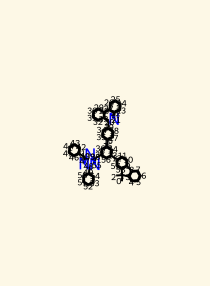 CC1(C)c2ccccc2-c2ccc(-c3cc(-c4ccc(-c5nc6ccccc6c6ccccc56)cc4)cc(-c4nc(-c5ccccc5)nc(-c5ccccc5)n4)c3)cc21